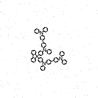 c1ccc(N(c2ccccc2)c2ccc(-c3ccc(N(c4ccccc4)c4ccc(C5(c6ccc(N(c7ccccc7)c7ccc(-c8ccc(N(c9ccccc9)c9ccccc9)cc8)cc7)cc6)c6ccccc6-c6ccccc65)cc4)cc3)cc2)cc1